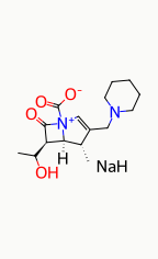 CC(O)[C@H]1C(=O)[N+]2(C(=O)[O-])C=C(CN3CCCCC3)[C@H](C)[C@@H]12.[NaH]